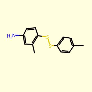 Cc1ccc(SSc2ccc(N)cc2C)cc1